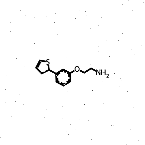 NCCOc1cccc(C2CC=CS2)c1